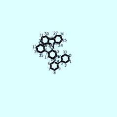 c1ccc(-c2ccccc2)cc1.c1ccc(-c2ccccc2-n2c3ccccc3c3ccccc32)cc1